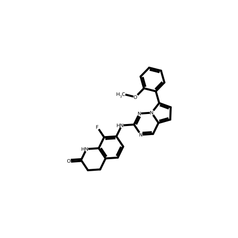 COc1ccccc1-c1ccc2cnc(Nc3ccc4c(c3F)NC(=O)CC4)nn12